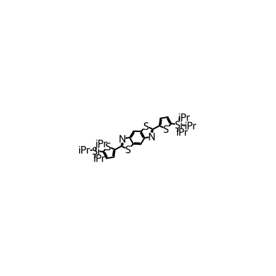 CC(C)[Si](c1ccc(-c2nc3cc4sc(-c5ccc([Si](C(C)C)(C(C)C)C(C)C)s5)nc4cc3s2)s1)(C(C)C)C(C)C